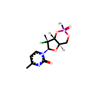 Cc1ccn([C@@H]2O[C@@H]3COP(=O)(C(C)C)O[C@H]3[C@@]2(C)F)c(=O)n1